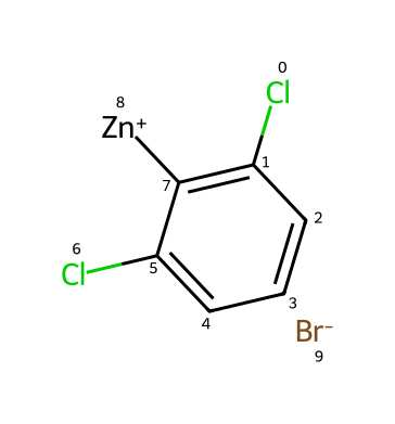 Clc1cccc(Cl)[c]1[Zn+].[Br-]